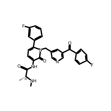 CN[C@H](C)C(=O)Nc1ccc(-c2cccc(F)c2)n(Cc2cncc(C(=O)c3ccc(F)cc3)c2)c1=O